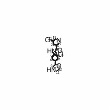 Cl.O=C(Nc1ccc(C2CNCCO2)cc1)c1cncc(Cl)c1